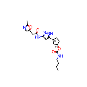 CCCCNC(=O)O[C@@H]1CC[C@H](c2cc(NC(=O)Cc3cnc(C)o3)n[nH]2)C1